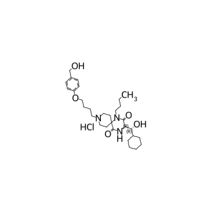 CCCCN1C(=O)[C@@H]([C@H](O)C2CCCCC2)NC(=O)C12CCN(CCCCOc1ccc(CO)cc1)CC2.Cl